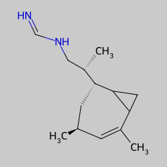 CC1=C[C@@H](C)C[C@H]([C@@H](C)CNC=N)C2CC12